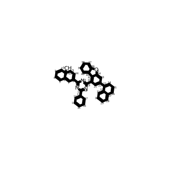 CC12C=CC=CC1=CC(c1nc(-c3ccccc3)nc(-c3cc(-c4cccc5ccccc45)cc4oc5ccccc5c34)n1)=CC2